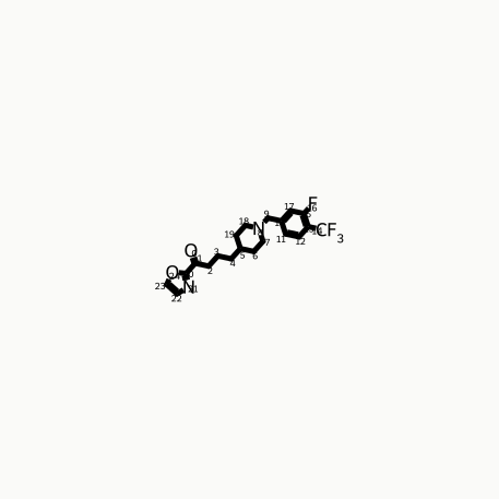 O=C(CCCC1CCN(Cc2ccc(C(F)(F)F)c(F)c2)CC1)c1ncco1